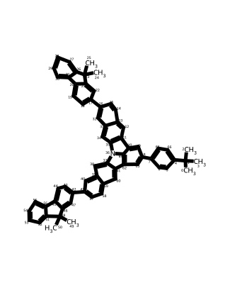 CC(C)(C)c1ccc(-c2cc3c4cc5ccc(-c6ccc7c(c6)C(C)(C)c6ccccc6-7)cc5cc4n4c5cc6cc(-c7ccc8c(c7)C(C)(C)c7ccccc7-8)ccc6cc5c(c2)c34)cc1